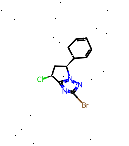 Cl[C@H]1C[C@@H](C2C=CC=CC2)n2nc(Br)nc21